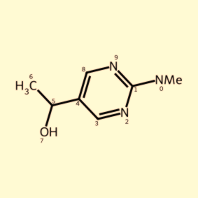 CNc1ncc(C(C)O)cn1